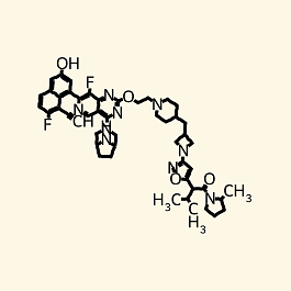 C#Cc1c(F)ccc2cc(O)cc(-c3ncc4c(N5CC6CCC(C5)N6)nc(OCCN5CCC(CC6CN(c7cc(C(C(=O)N8CCCC8C)C(C)C)on7)C6)CC5)nc4c3F)c12